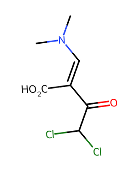 CN(C)/C=C(\C(=O)O)C(=O)C(Cl)Cl